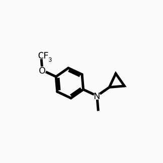 CN(c1ccc(OC(F)(F)F)cc1)C1CC1